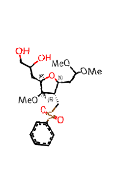 COC(C[C@@H]1O[C@H](CC(O)CO)[C@H](OC)[C@H]1CS(=O)(=O)c1ccccc1)OC